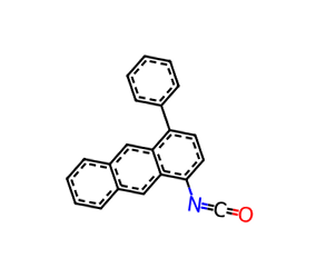 O=C=Nc1ccc(-c2ccccc2)c2cc3ccccc3cc12